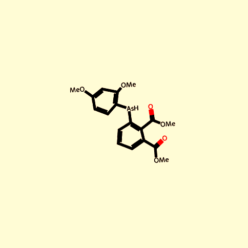 COC(=O)c1cccc([AsH]c2ccc(OC)cc2OC)c1C(=O)OC